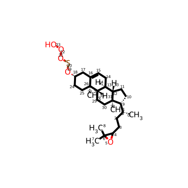 C[C@H](CCC1OC1(C)C)[C@H]1CC[C@H]2[C@@H]3CC=C4C[C@@H](OSOOO)CC[C@]4(C)[C@H]3CC[C@]12C